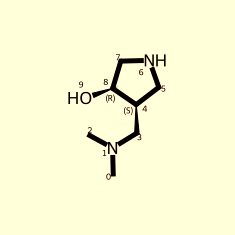 CN(C)C[C@@H]1CNC[C@@H]1O